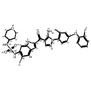 Cc1cc(Oc2ccccc2F)ccc1-n1ncc(C(=O)c2cc3cc(F)c(NS(=O)(=O)NC4CCOCC4)cc3[nH]2)c1N